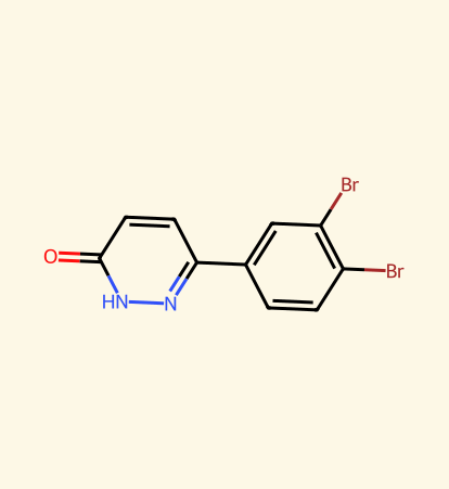 O=c1ccc(-c2ccc(Br)c(Br)c2)n[nH]1